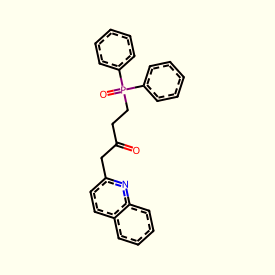 O=C(CCP(=O)(c1ccccc1)c1ccccc1)Cc1ccc2ccccc2n1